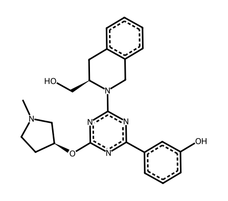 CN1CC[C@H](Oc2nc(-c3cccc(O)c3)nc(N3Cc4ccccc4C[C@@H]3CO)n2)C1